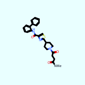 CNC(=O)CCC(=O)N1CCC(c2nc(C(=O)Nc3ccccc3-c3ccccc3)cs2)CC1